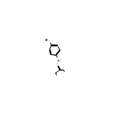 CCC(CC)=NNc1ccc([N+](=O)[O-])cc1